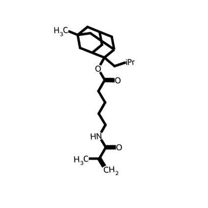 C=C(C)C(=O)NCCCCC(=O)OC1(CC(C)C)C2CC3CC1CC(C)(C3)C2